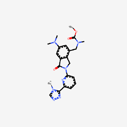 CC[C@H](C)n1cnnc1-c1cccc(N2Cc3c(CN(C)C(=O)OC(C)(C)C)cc(N(C)C)cc3C2=O)n1